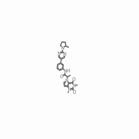 CC1CCCN1c1ncc(-c2cccc(NC(=O)C(C)n3ccc4c3c(=O)n(C)c(=O)n4C)c2)cn1